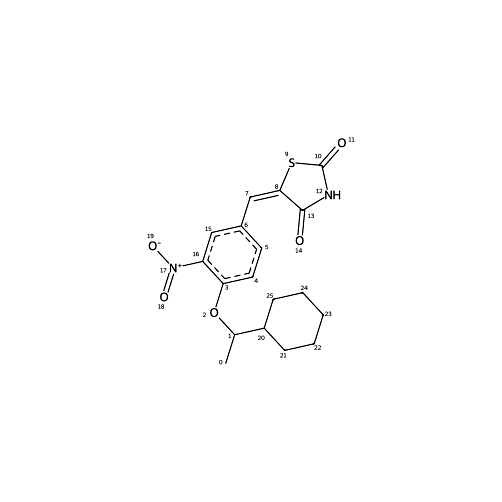 CC(Oc1ccc(C=C2SC(=O)NC2=O)cc1[N+](=O)[O-])C1CCCCC1